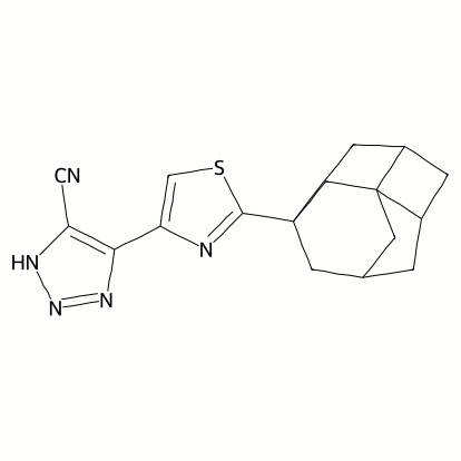 N#Cc1[nH]nnc1-c1csc(C23CC4CC5CC(C2)C5(C4)C3)n1